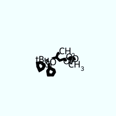 C=CC(CCOS(C)(=O)=O)CO[Si](c1ccccc1)(c1ccccc1)C(C)(C)C